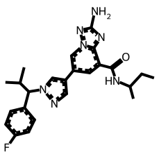 CCC(C)NC(=O)c1cc(-c2cnn(C(c3ccc(F)cc3)C(C)C)c2)cn2nc(N)nc12